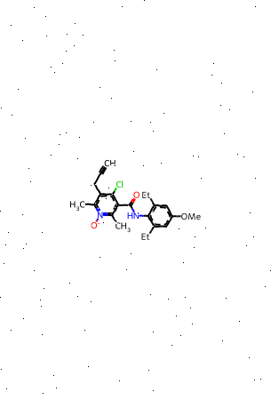 C#CCc1c(Cl)c(C(=O)Nc2c(CC)cc(OC)cc2CC)c(C)[n+]([O-])c1C